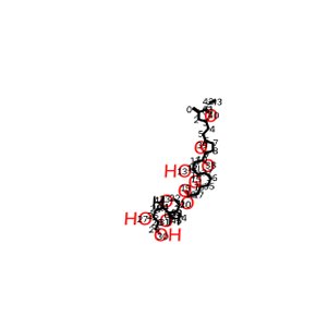 C=C1CC(CCC2CCC(C3C[C@@H](O)C4OC(CC(=O)OC5CO[C@H]6CC(O)C(CO)O[C@H]6[C@@H]5C)CCC4O3)O2)O[C@H]1CC